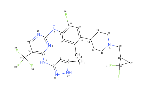 Cc1cc(Nc2nc(Nc3cc(C)c(C4CCN(CC5CC5(F)F)CC4)cc3F)ncc2C(F)(F)F)n[nH]1